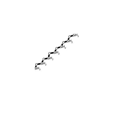 [SiH3]O[SiH2]O[SiH2]O[SiH2]O[SiH2]O[SiH2]O[SiH3]